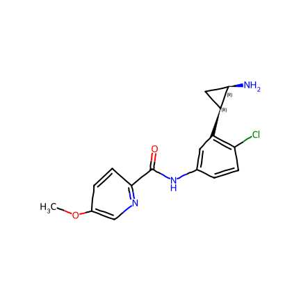 COc1ccc(C(=O)Nc2ccc(Cl)c([C@H]3C[C@H]3N)c2)nc1